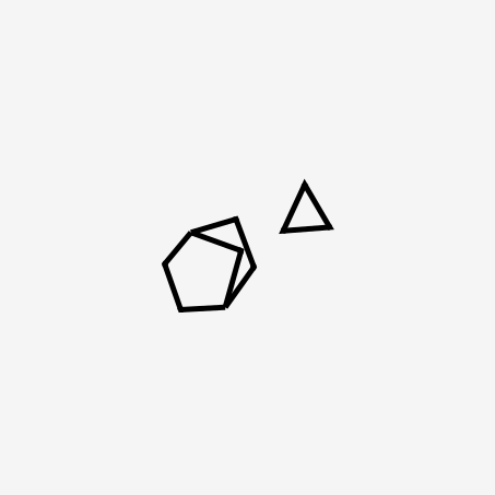 C1CC1.C1CC2CCC1C2